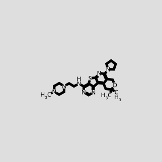 CN1CCN(CCNc2ncnc3c2sc2nc(N4CCCC4)c4c(c23)CC(C)(C)OC4)CC1